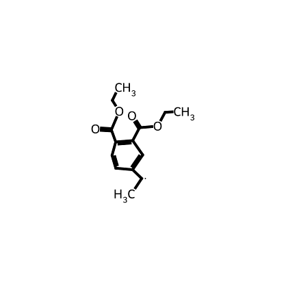 C[CH]c1ccc(C(=O)OCC)c(C(=O)OCC)c1